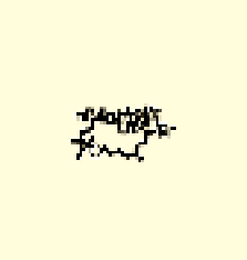 CCCCCC(C)(CCC)C(C)(N)OCCC(C)CCCC1(C)C(C)C1(C)OCCCCC(C)CCC(C)C(C)C